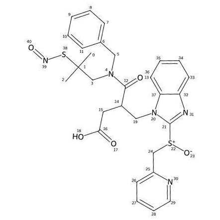 CC(C)(CN(Cc1ccccc1)C(=O)C(CC(=O)O)Cn1c([S+]([O-])Cc2ccccn2)nc2ccccc21)SN=O